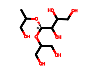 CC(CO)O[C@@H](OC(CO)CO)C(O)C(O)CO